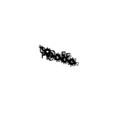 CCOc1ccc(OC(=O)C2CCC(c3ccc(-c4ccc(C)cc4)c(F)c3F)CC2)c(F)c1F